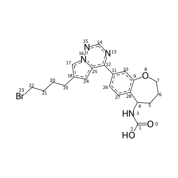 O=C(O)NC1CCCOc2cc(-c3ncnn4cc(CCCCBr)cc34)ccc21